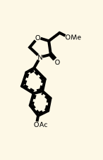 COCC1OCN(c2ccc3cc(OC(C)=O)ccc3c2)C1=O